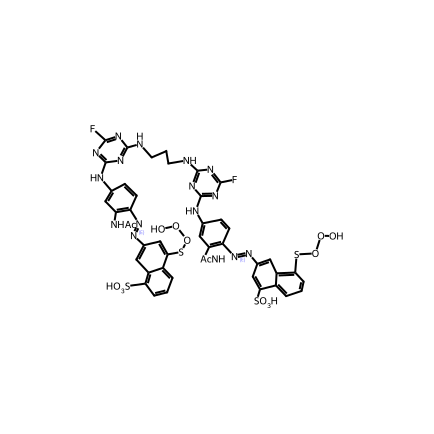 CC(=O)Nc1cc(Nc2nc(F)nc(NCCCNc3nc(F)nc(Nc4ccc(/N=N/c5cc(SOOO)c6cccc(S(=O)(=O)O)c6c5)c(NC(C)=O)c4)n3)n2)ccc1/N=N/c1cc(S(=O)(=O)O)c2cccc(SOOO)c2c1